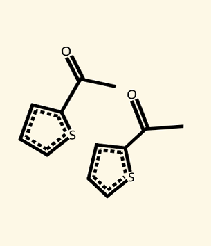 CC(=O)c1cccs1.CC(=O)c1cccs1